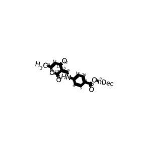 CCCCCCCCCCOC(=O)c1ccc(NC=C2C(=O)C=C(C)OC2=O)cc1